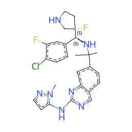 Cn1nccc1Nc1ncc2ccc(C(C)(C)N[C@@H](c3ccc(Cl)c(F)c3)[C@]3(F)CCNC3)cc2n1